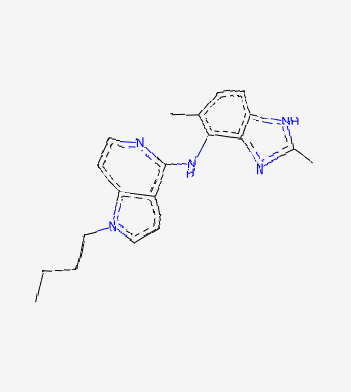 CCCCn1ccc2c(Nc3c(C)ccc4[nH]c(C)nc34)nccc21